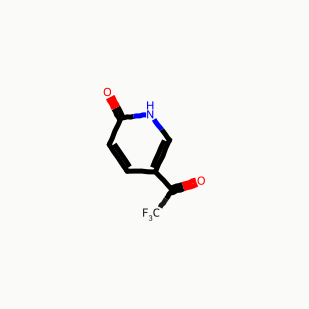 O=C(c1ccc(=O)[nH]c1)C(F)(F)F